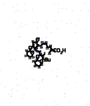 CCCCC(C)[C@H](/C=C/[C@H]1[C@H](OC2CCCCO2)CC(=O)[C@@H]1C/C=C\CCC(C)C(=O)O)OC1CCCCO1